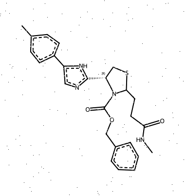 CNC(=O)CCC1SC[C@@H](c2ncc(-c3ccc(C)cc3)[nH]2)N1C(=O)OCc1ccccc1